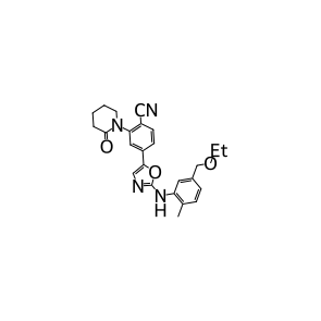 CCOCc1ccc(C)c(Nc2ncc(-c3ccc(C#N)c(N4CCCCC4=O)c3)o2)c1